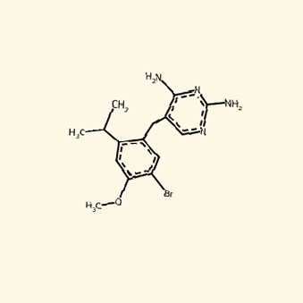 COc1cc(C(C)C)c(Cc2cnc(N)nc2N)cc1Br